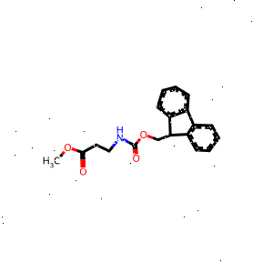 COC(=O)CCNC(=O)OCC1c2ccccc2-c2ccccc21